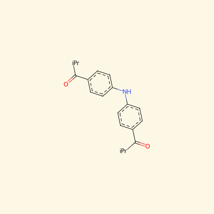 CC(C)C(=O)c1ccc(Nc2ccc(C(=O)C(C)C)cc2)cc1